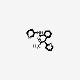 CC(=O)C(c1ccccn1)c1ccccc1C(=O)Nc1cccnc1